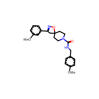 COc1ccc(CNC(=O)N2CCC3(CC2)CC(c2cccc(OC)c2)=NO3)cc1